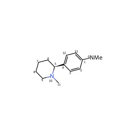 CNc1ccc([C@@H]2CCCCN2C)cc1